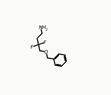 NCCC(F)(F)COCc1ccccc1